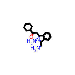 N/C=C1/c2ccccc2C(CC(=O)C2CC=CCC2)N1N